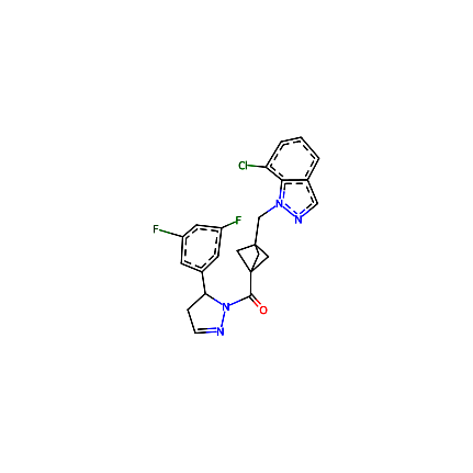 O=C(N1N=CCC1c1cc(F)cc(F)c1)C12CC(Cn3ncc4cccc(Cl)c43)(C1)C2